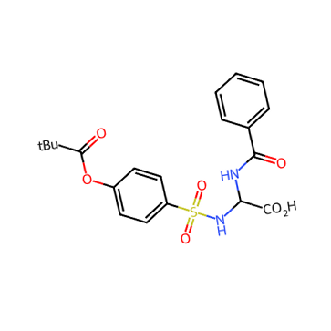 CC(C)(C)C(=O)Oc1ccc(S(=O)(=O)NC(NC(=O)c2ccccc2)C(=O)O)cc1